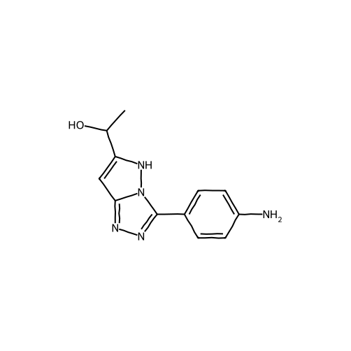 CC(O)c1cc2nnc(-c3ccc(N)cc3)n2[nH]1